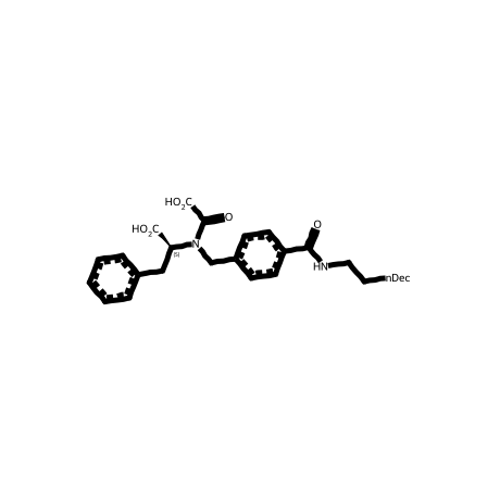 CCCCCCCCCCCCNC(=O)c1ccc(CN(C(=O)C(=O)O)[C@@H](Cc2ccccc2)C(=O)O)cc1